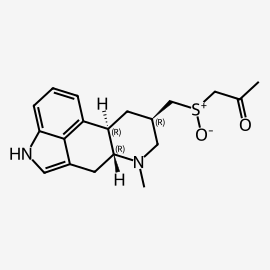 CC(=O)C[S+]([O-])C[C@@H]1C[C@@H]2c3cccc4[nH]cc(c34)C[C@H]2N(C)C1